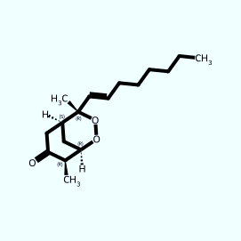 CCCCCCC=C[C@]1(C)OO[C@@H]2C[C@H]1CC(=O)[C@@H]2C